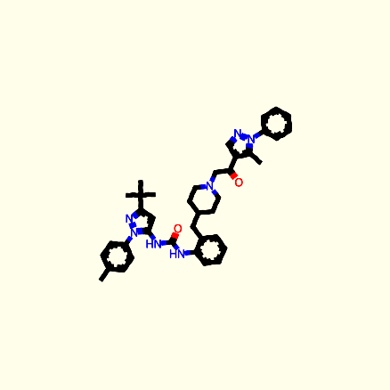 Cc1ccc(-n2nc(C(C)(C)C)cc2NC(=O)Nc2ccccc2CC2CCN(CC(=O)c3cnn(-c4ccccc4)c3C)CC2)cc1